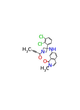 CC#CC(=O)N1CC(Nc2ccc3ccn(C)c(=O)c3c2)(c2cccc(Cl)c2Cl)C1